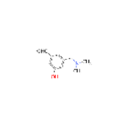 CN(C)Cc1cc(O)cc([C]=O)c1